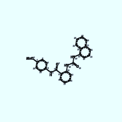 COc1ccc(NC(=O)c2ccccc2NC(=O)Nc2cccc3ccccc23)cc1